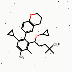 Cc1c([N+](=O)[O-])cc(C2CC2)c(-c2ccc3c(c2)CCCO3)c1C(CCC(C)(C)C(=O)O)OC1CC1